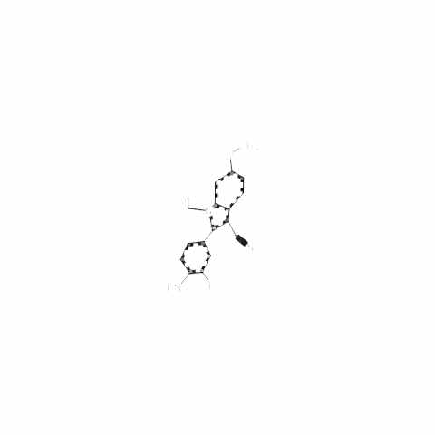 CCn1c(-c2ccc(N)c(F)c2)c(C#N)c2ccc(OC)cc21